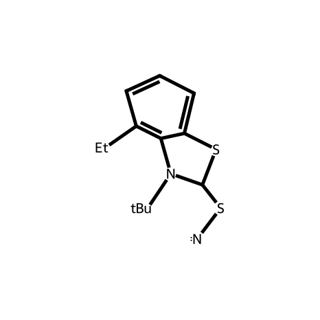 CCc1cccc2c1N(C(C)(C)C)C(S[N])S2